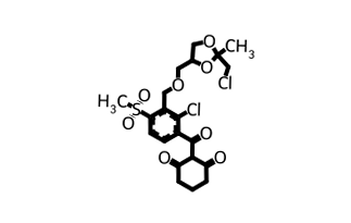 CC1(CCl)OCC(COCc2c(S(C)(=O)=O)ccc(C(=O)C3C(=O)CCCC3=O)c2Cl)O1